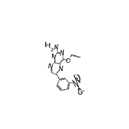 CCOc1nc(N)nc2ncc(-c3cccc([N+](=O)[O-])c3)nc12